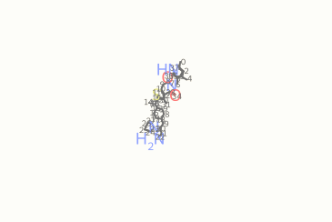 Cc1cc(C)c(CN2CCc3sc([C@H](C)C4CCC(CC(CN)N5CCCC5)CC4)c(C)c3C2=O)c(=O)[nH]1